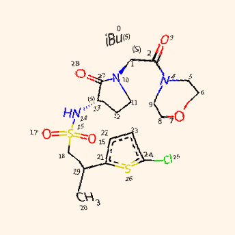 CC[C@H](C)[C@@H](C(=O)N1CCOCC1)N1CC[C@H](NS(=O)(=O)CC(C)c2ccc(Cl)s2)C1=O